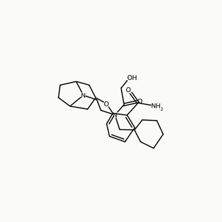 NC(=O)c1ccccc1OC1CC2CCC(C1)N2CCN(CC1CCCCC1)C(=O)CO